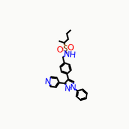 CCCC(C)S(=O)(=O)NCc1ccc(-c2cn(-c3ccccc3)nc2-c2ccncc2)cc1